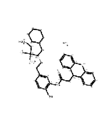 CC(C)(C)c1ccc(CC[C@@H](CC2CCCCC2)[C@](N)(CC(=O)O)C(=O)O)cc1NC(=O)CC1c2ccccc2Oc2ccccc21.Cl